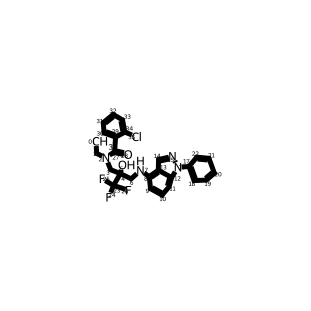 CCN(CC(O)(CNc1cccc2c1cnn2-c1ccccc1)C(F)(F)F)C(=O)c1ccccc1Cl